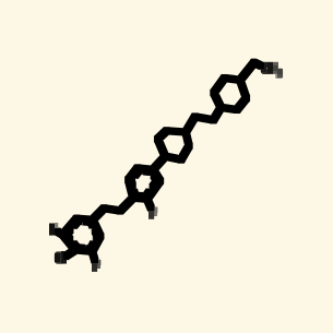 CCC1CCC(CCC2CCC(c3ccc(CCc4cc(F)c(Cl)c(F)c4)c(F)c3)CC2)CC1